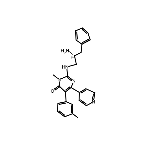 Cc1cccc(-c2c(-c3ccncc3)nc(NC[C@H](N)Cc3ccccc3)n(C)c2=O)c1